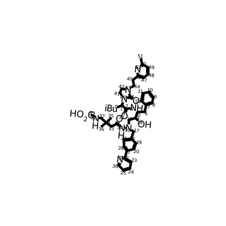 CCC(C)C(C(=O)NC(Cc1ccccc1)C(O)CN(Cc1ccc(-c2ccccn2)cc1)NC(=O)CC(C)(C)CNC(=O)O)N1CCN(CCc2cccc(C)n2)C1=O